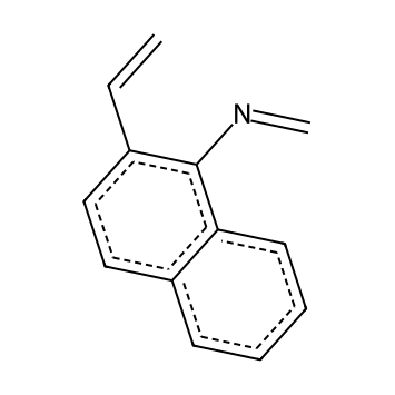 C=Cc1ccc2ccccc2c1N=C